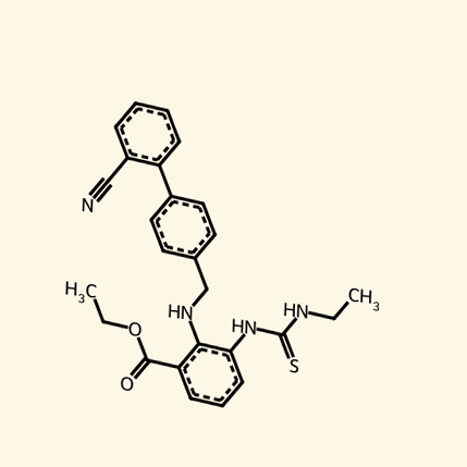 CCNC(=S)Nc1cccc(C(=O)OCC)c1NCc1ccc(-c2ccccc2C#N)cc1